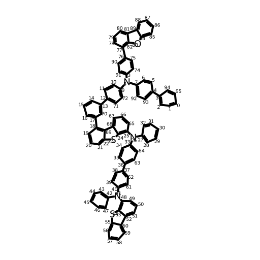 c1ccc(-c2ccc(N(c3ccc(-c4cccc(-c5cccc6sc7c(N(c8ccccc8)c8ccc(-c9ccc(N(c%10ccccc%10)c%10cccc%11c%10sc%10ccccc%10%11)cc9)cc8)cccc7c56)c4)cc3)c3ccc(-c4cccc5c4oc4ccccc45)cc3)cc2)cc1